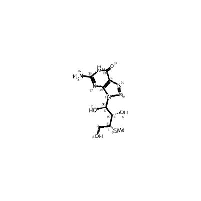 CS[C@H](CO)[C@@H](O)[C@@H](O)n1nnc2c(=O)[nH]c(N)nc21